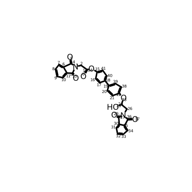 O=C(CN1C(=O)c2ccccc2C1=O)Oc1ccc(-c2ccc(OC(O)CN3C(=O)c4ccccc4C3=O)cc2)cc1